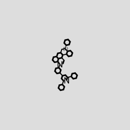 C1=CN(c2cccc(-c3cc(-c4ccccc4)nc(-c4ccccc4)c3)c2)c2cccc3cc4c(c1c23)-c1ccccc1[C@H](c1ccccc1)C4